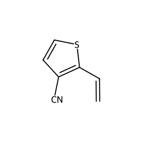 C=Cc1sccc1C#N